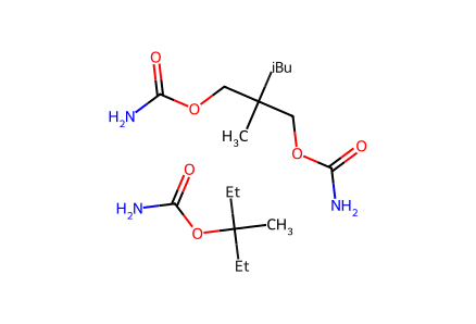 CCC(C)(CC)OC(N)=O.CCC(C)C(C)(COC(N)=O)COC(N)=O